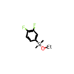 CCO[Si](C)(C)c1ccc(F)c(F)c1